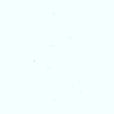 COc1cccc2[nH]c(C(=O)N[C@@H](CC(C)C)C(=O)N[C@@H](CC3CCNC3=O)C(=O)COP(=O)(O)O)cc12